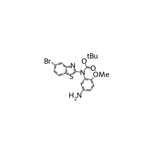 COc1ccc(N)cc1N(C(=O)OC(C)(C)C)c1nc2cc(Br)ccc2s1